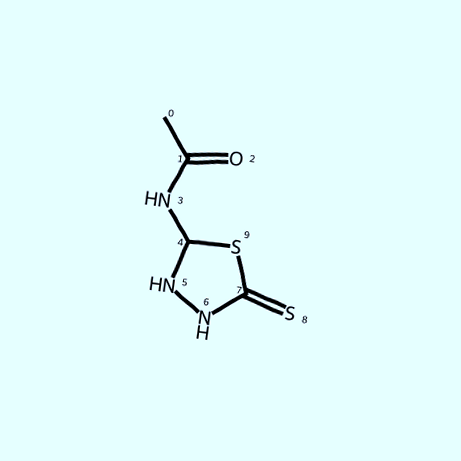 CC(=O)NC1NNC(=S)S1